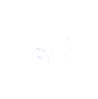 CC(=O)N1CC2(CCOCC2)c2ccc(Nc3ncn(-c4ccccc4)n3)cc21